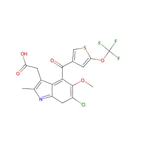 COC1=C(Cl)CC2=NC(C)=C(CC(=O)O)C2=C1C(=O)c1csc(OC(F)(F)F)c1